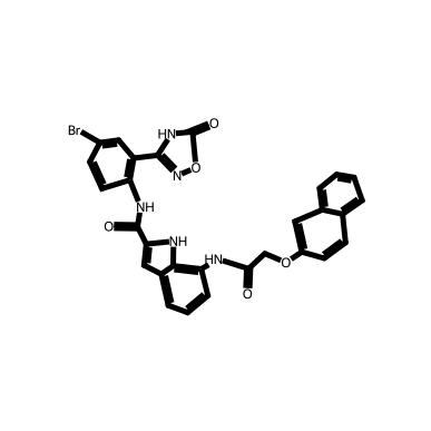 O=C(COc1ccc2ccccc2c1)Nc1cccc2cc(C(=O)Nc3ccc(Br)cc3-c3noc(=O)[nH]3)[nH]c12